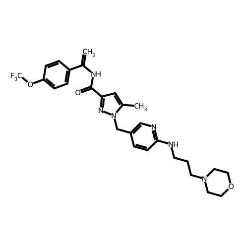 C=C(NC(=O)c1cc(C)n(Cc2ccc(NCCCN3CCOCC3)nc2)n1)c1ccc(OC(F)(F)F)cc1